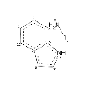 NI.c1ccc2[nH]ccc2c1